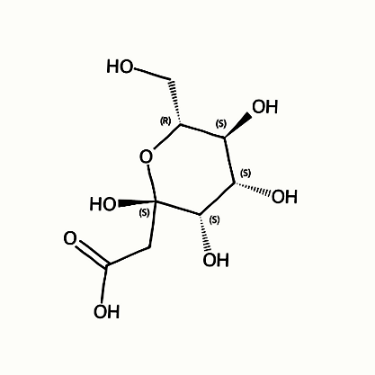 O=C(O)C[C@]1(O)O[C@H](CO)[C@@H](O)[C@H](O)[C@@H]1O